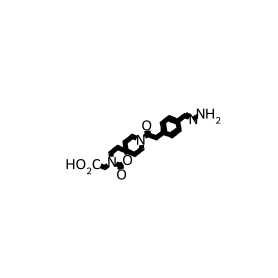 NN=Cc1ccc(CC(=O)N2CCC3(CC2)CCN(CC(=O)O)C(=O)O3)cc1